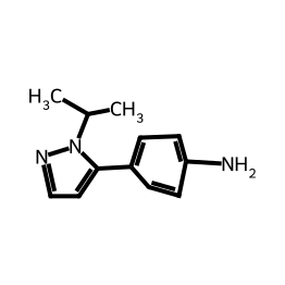 CC(C)n1nccc1-c1ccc(N)cc1